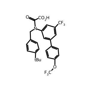 CC(C)(C)c1ccc(CN(C(=O)C(=O)O)c2cc(-c3ccc(OC(F)(F)F)cc3)cc(C(F)(F)F)c2)cc1